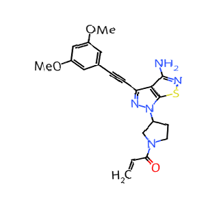 C=CC(=O)N1CCC(n2nc(C#Cc3cc(OC)cc(OC)c3)c3c(N)nsc32)C1